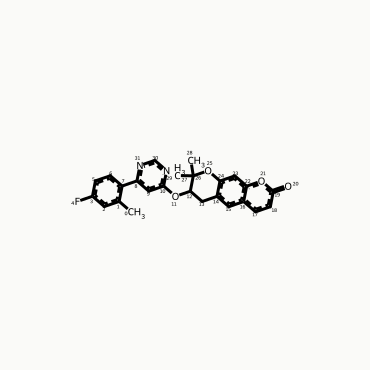 Cc1cc(F)ccc1-c1cc(OC2Cc3cc4ccc(=O)oc4cc3OC2(C)C)ncn1